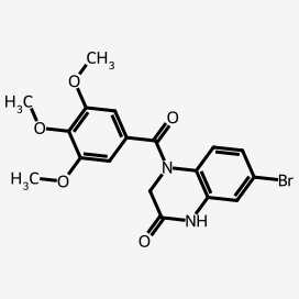 COc1cc(C(=O)N2CC(=O)Nc3cc(Br)ccc32)cc(OC)c1OC